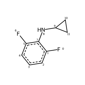 Fc1cccc(F)c1NC1CC1